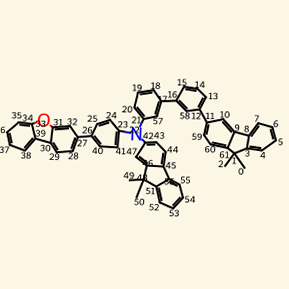 CC1(C)c2ccccc2-c2cc(-c3cccc(-c4cccc(N(c5ccc(-c6ccc7c(c6)oc6ccccc67)cc5)c5ccc6c(c5)C(C)(C)c5ccccc5-6)c4)c3)ccc21